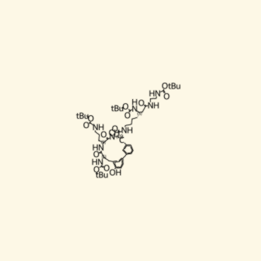 CN1C(=O)[C@H](CCCNC(=O)OC(C)(C)C)NC(=O)[C@@H](NC(=O)OC(C)(C)C)Cc2cc(ccc2O)-c2cccc(c2)C[C@H]1C(=O)NCCCC[C@@H](CC(=O)NCCNC(=O)OC(C)(C)C)NC(=O)OC(C)(C)C